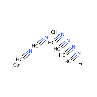 C.C#N.C#N.C#N.C#N.C#N.C#N.[Cu].[Fe]